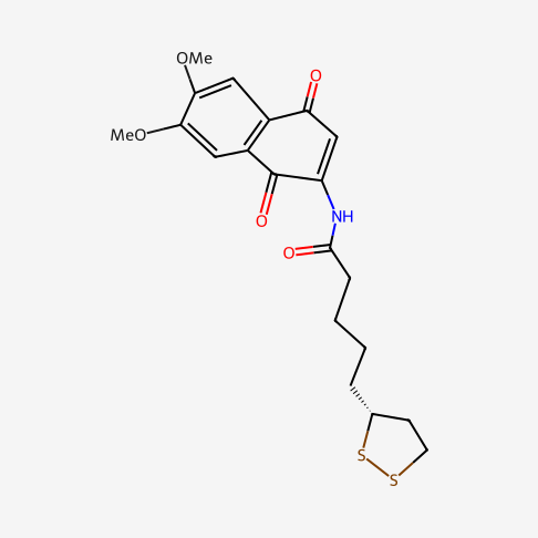 COc1cc2c(cc1OC)C(=O)C(NC(=O)CCCC[C@@H]1CCSS1)=CC2=O